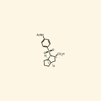 CC(=O)Nc1ccc(S(=O)(=O)N2[C@@H](C(=O)O)C[C@H]3CCC[C@H]32)cc1